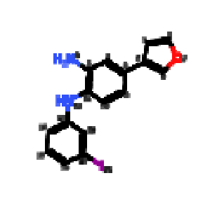 Nc1cc(-c2ccoc2)ccc1Nc1cccc(I)c1